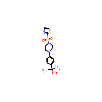 C[C@@](O)(c1ccc(N2CCN(S(=O)(=O)c3nccs3)CC2)cc1)C(F)(F)F